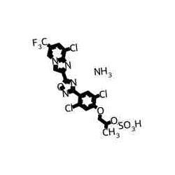 CC(COc1cc(Cl)c(-c2noc(-c3cn4cc(C(F)(F)F)cc(Cl)c4n3)n2)cc1Cl)OS(=O)(=O)O.N